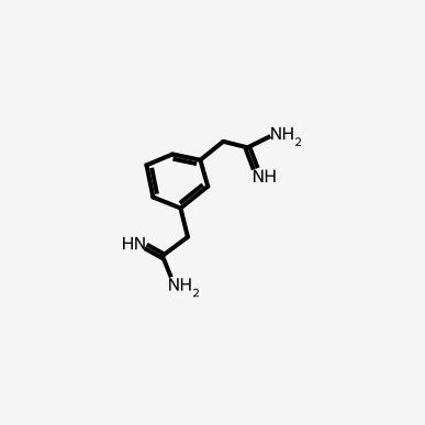 N=C(N)Cc1cccc(CC(=N)N)c1